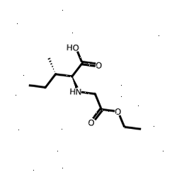 CCOC(=O)CN[C@H](C(=O)O)[C@@H](C)CC